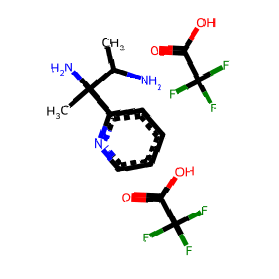 CC(N)C(C)(N)c1ccccn1.O=C(O)C(F)(F)F.O=C(O)C(F)(F)F